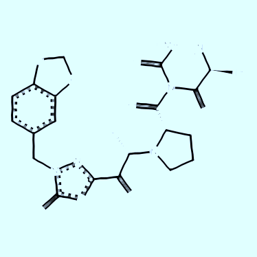 COC(=O)N(C(=O)[C@@H](N)C(C)C)C(=O)[C@@H]1CCCN1[C@H](C(=O)c1nn(Cc2ccc3c(c2)OCO3)c(=O)o1)C(C)C